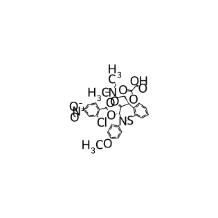 CCN(C)CC[C@]1(OC(=O)C(=O)O)C(=O)[C@@H](OC(=O)c2ccc([N+](=O)[O-])cc2Cl)N(c2ccc(OC)cc2)Sc2ccccc21